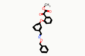 COC(=O)C(=O)c1ccccc1Oc1cccc(C=NOCc2ccccc2)c1